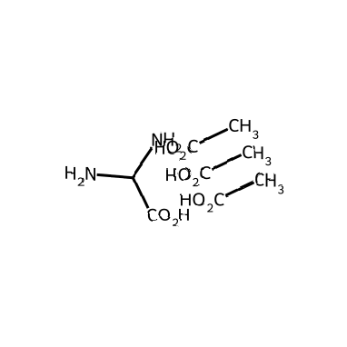 CC(=O)O.CC(=O)O.CC(=O)O.NC(N)C(=O)O